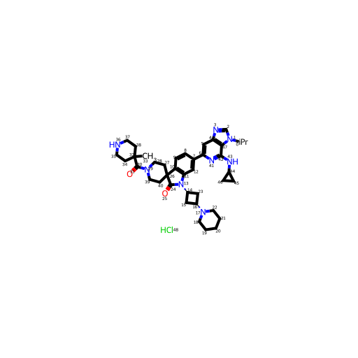 CC(C)n1cnc2cc(-c3ccc4c(c3)N([C@H]3C[C@@H](N5CCCCC5)C3)C(=O)C43CCN(C(=O)C4(C)CCNCC4)CC3)nc(NC3CC3)c21.Cl